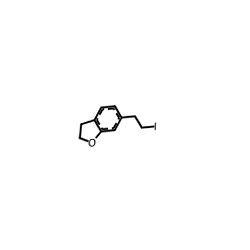 ICCc1ccc2c(c1)OCC2